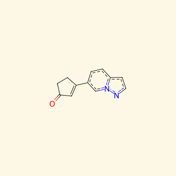 O=C1C=C(c2ccc3ccnn3c2)CC1